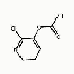 O=C(O)Oc1cccnc1Cl